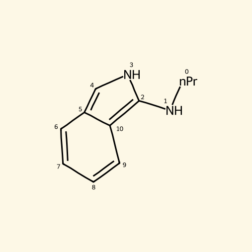 CCCNc1[nH]cc2ccccc12